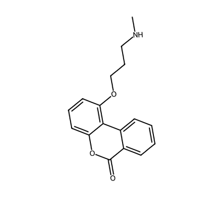 CNCCCOc1cccc2oc(=O)c3ccccc3c12